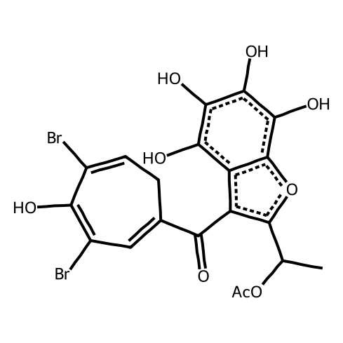 CC(=O)OC(C)c1oc2c(O)c(O)c(O)c(O)c2c1C(=O)C1=CC(Br)=C(O)C(Br)=CC1